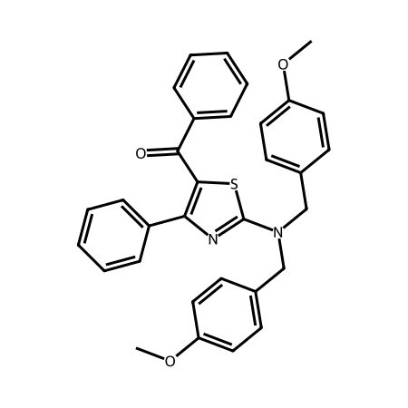 COc1ccc(CN(Cc2ccc(OC)cc2)c2nc(-c3ccccc3)c(C(=O)c3ccccc3)s2)cc1